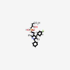 CCc1c(-c2ccccc2)nc(C(C)C)c(/C=C/P(=O)(O)C[C@@H](O)CC(=O)O)c1-c1ccc(F)cc1